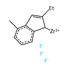 CCC1=Cc2c(C)cccc2[CH]1[Zr+3].[F-].[F-].[F-]